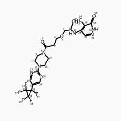 CC(COCCC(=O)N1CCN(c2ncc(C3(F)C(F)(F)C3(F)F)cn2)CC1)Nc1cn[nH]c(=O)c1C(F)(F)F